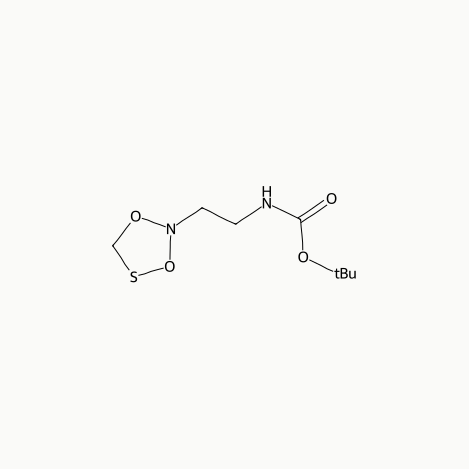 CC(C)(C)OC(=O)NCCN1OCSO1